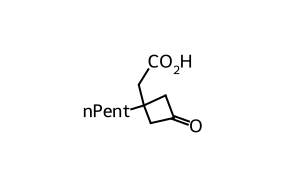 CCCCCC1(CC(=O)O)CC(=O)C1